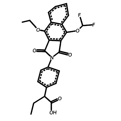 CCOc1c2c(c(OC(F)F)c3ccccc13)C(=O)N(c1ccc(C(CC)C(=O)O)cc1)C2=O